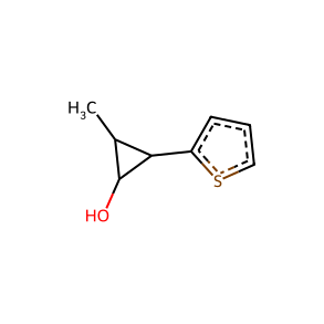 CC1C(O)C1c1cccs1